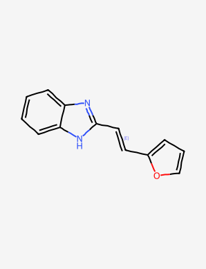 C(=C\c1ccco1)/c1nc2ccccc2[nH]1